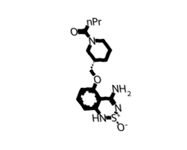 CCCC(=O)N1CCC[C@H](COc2cccc3c2C(N)=N[S@+]([O-])N3)C1